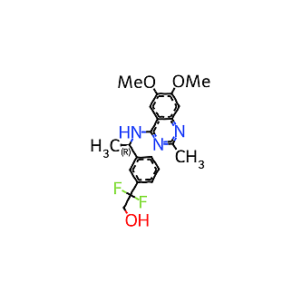 COc1cc2nc(C)nc(N[C@H](C)c3cccc(C(F)(F)CO)c3)c2cc1OC